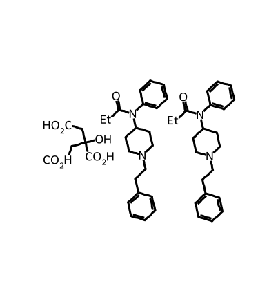 CCC(=O)N(c1ccccc1)C1CCN(CCc2ccccc2)CC1.CCC(=O)N(c1ccccc1)C1CCN(CCc2ccccc2)CC1.O=C(O)CC(O)(CC(=O)O)C(=O)O